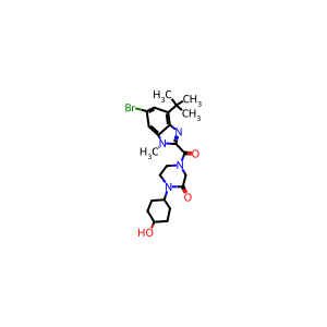 Cn1c(C(=O)N2CCN(C3CCC(O)CC3)C(=O)C2)nc2c(C(C)(C)C)cc(Br)cc21